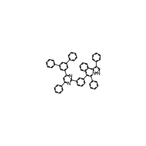 c1ccc(-c2cc(-c3ccccc3)cc(-c3cc(-c4ccccc4)nc(-c4cccc(-c5c(-c6ccccc6)n6ncc(-c7ccccc7)c6c6ccccc56)c4)n3)c2)cc1